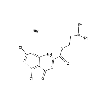 Br.CC(C)N(CCOC(=O)c1cc(=O)c2c(Cl)cc(Cl)cc2[nH]1)C(C)C